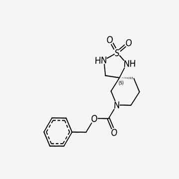 O=C(OCc1ccccc1)N1CCC[C@@]2(CNS(=O)(=O)N2)C1